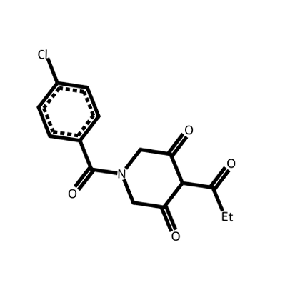 CCC(=O)C1C(=O)CN(C(=O)c2ccc(Cl)cc2)CC1=O